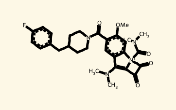 COc1cc2c(cc1C(=O)N1CCC(Cc3ccc(F)cc3)CC1)C(N(C)C)=C1C(=O)C(=O)[N+]12C(=O)N(C)C